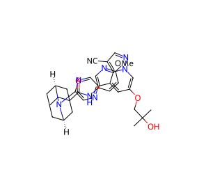 COc1ccc(NC(=O)C23CC4C[C@H](C2)N(c2cnc(-c5cc(OCC(C)(C)O)cn6ncc(C#N)c56)cn2)[C@@H](C4)C3)cn1